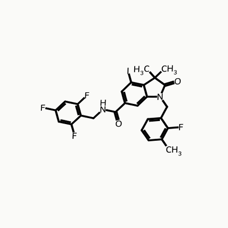 Cc1cccc(CN2C(=O)C(C)(C)c3c(I)cc(C(=O)NCc4c(F)cc(F)cc4F)cc32)c1F